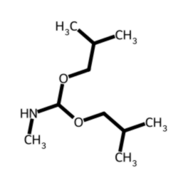 CNC(OCC(C)C)OCC(C)C